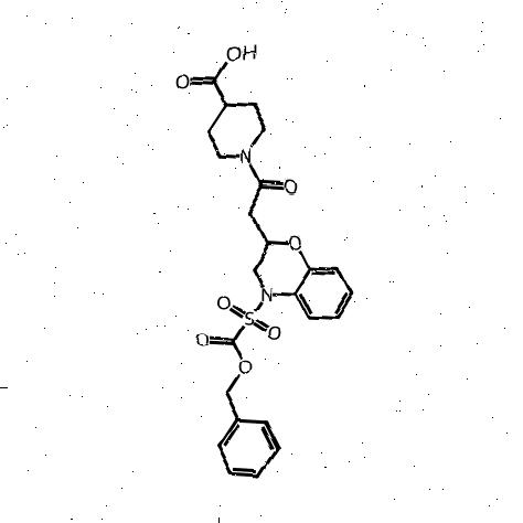 O=C(O)C1CCN(C(=O)CC2CN(S(=O)(=O)C(=O)OCc3ccccc3)c3ccccc3O2)CC1